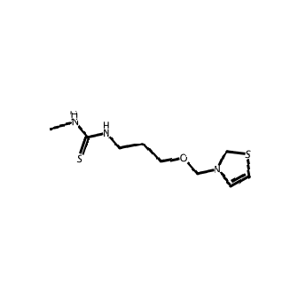 CNC(=S)NCCCOCN1C=CSC1